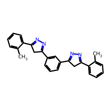 Cc1ccccc1C1=NN=C(c2cccc(C3=NN=C(c4ccccc4C)C3)c2)C1